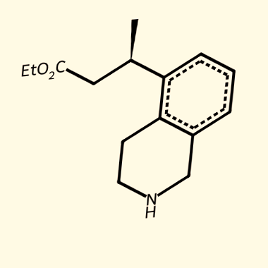 CCOC(=O)C[C@@H](C)c1cccc2c1CCNC2